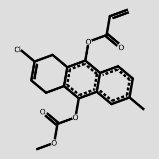 C=CC(=O)Oc1c2c(c(OC(=O)OC)c3cc(C)ccc13)CC=C(Cl)C2